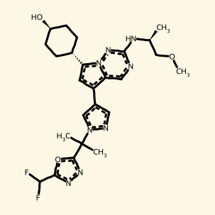 COC[C@H](C)Nc1ncc2c(-c3cnn(C(C)(C)c4nnc(C(F)F)o4)c3)cc([C@H]3CC[C@H](O)CC3)n2n1